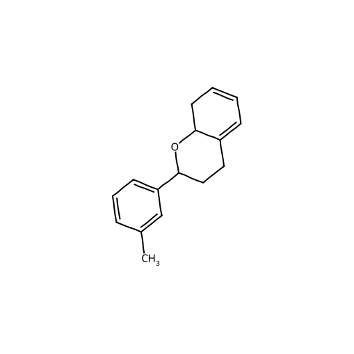 Cc1cccc(C2CCC3=CC=CCC3O2)c1